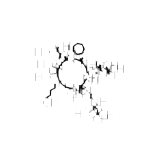 CCCCCC[C@H]1OC[C@@H](C)NC(=O)[C@H](CNCCNC(=O)OC(C)(C)C)NC(=O)[C@H](CNC(=O)OC(C)(C)C)NC(=O)[C@H](C2CCCCCC2)NC(=O)[C@H](CCC(C)C)N(C)C(=O)[C@@H]1C